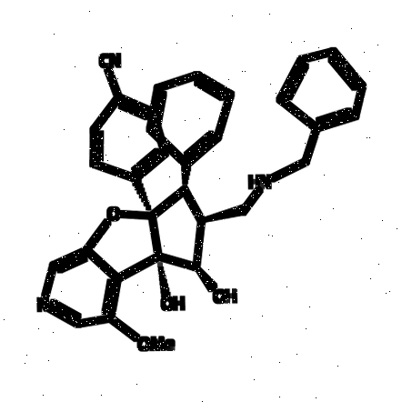 COc1cncc2c1[C@]1(O)[C@H](O)[C@H](CNCc3ccccc3)[C@@H](c3ccccc3)[C@]1(c1ccc(C#N)cc1)O2